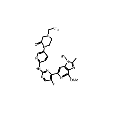 COc1nc(-c2nc(Nc3ccc(N4CCN(CC(F)(F)F)CC4=O)cn3)ncc2F)cc2c1nc(C)n2C(C)C